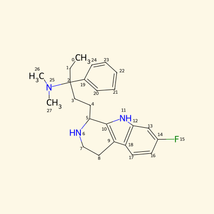 CCC(CCC1NCCc2c1[nH]c1cc(F)ccc21)(c1ccccc1)N(C)C